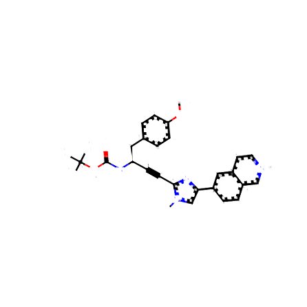 COc1ccc(C[C@@H](C#Cc2nc(-c3ccc4cnccc4c3)cn2C)NC(=O)OC(C)(C)C)cc1